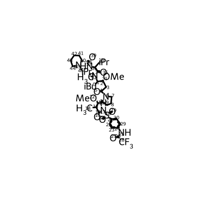 CCC(C)C(C(CC(=O)N1CCC[C@H]1C(OC)C(C)C(=O)NS(=O)(=O)c1ccc(NC(=O)C(F)(F)F)cc1)OC)N(C)C(=O)C(NC(=O)[C@H]1CCCCN1C(C)C)C(C)C